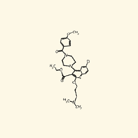 CCOC(=O)c1c(OCCCN(C)C)nc2ccc(Cl)cc2c1N1CCN(C(=O)c2ccc(OC)cc2)CC1